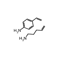 C=CCCCN.C=Cc1ccc(N)cc1